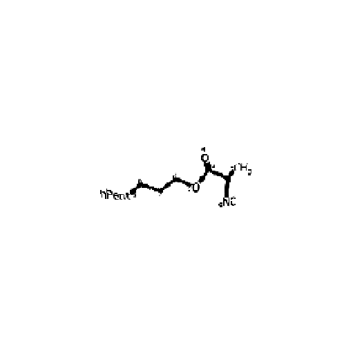 [C-]#[N+]C(C)C(=O)OCCCCCCCC